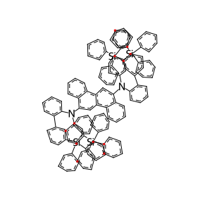 c1ccc([Si](c2ccccc2)(c2ccccc2)c2cccc(-c3ccccc3N(c3cccc([Si](c4ccccc4)(c4ccccc4)c4ccccc4)c3)c3cc4c5ccccc5c(N(c5cccc([Si](c6ccccc6)(c6ccccc6)c6ccccc6)c5)c5ccccc5-c5cccc([Si](c6ccccc6)(c6ccccc6)c6ccccc6)c5)cc4c4ccccc34)c2)cc1